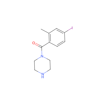 Cc1cc(I)ccc1C(=O)N1CCNCC1